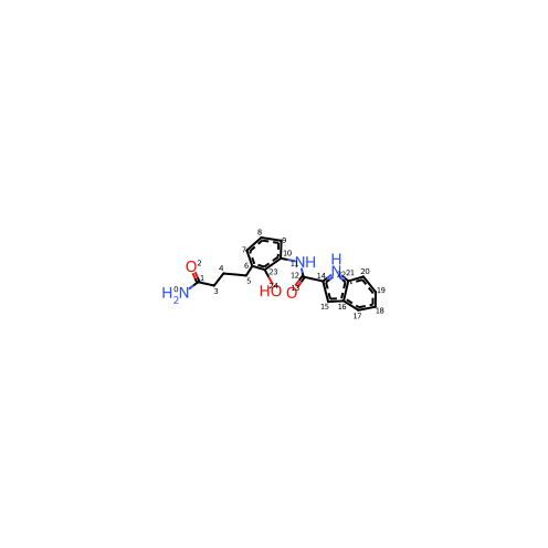 NC(=O)CCCc1cccc(NC(=O)c2cc3ccccc3[nH]2)c1O